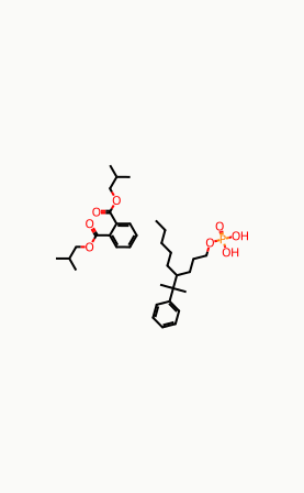 CC(C)COC(=O)c1ccccc1C(=O)OCC(C)C.CCCCCC(CCCOP(=O)(O)O)C(C)(C)c1ccccc1